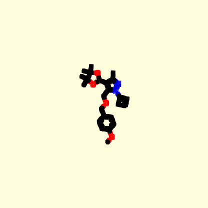 COc1ccc(COCc2c(B3OC(C)(C)C(C)(C)O3)c(C)nn2C23CC(C2)C3)cc1